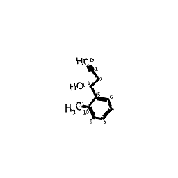 C#CC[C@@H](O)c1ccccc1C